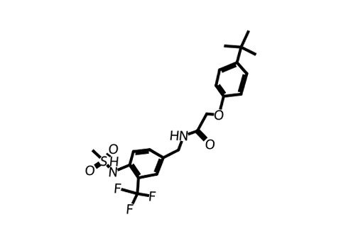 CC(C)(C)c1ccc(OCC(=O)NCc2ccc(NS(C)(=O)=O)c(C(F)(F)F)c2)cc1